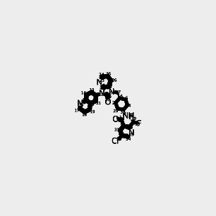 O=C(N[C@H]1CC[C@H](Cn2c(=O)n(-c3ccc4ncccc4c3)c3ncccc32)CC1)c1cc(Cl)cnc1C(F)F